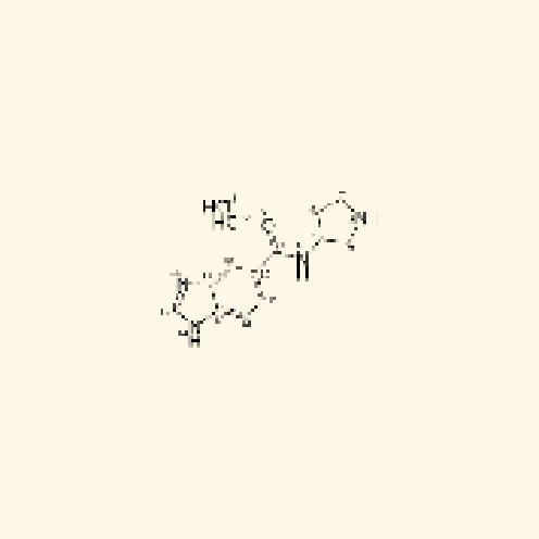 Cl.Cl.O=C(NC1CCNC1)c1ccc2[nH]cnc2c1